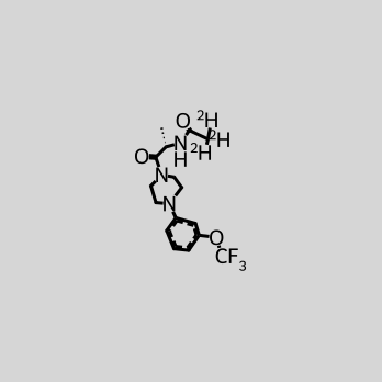 [2H]C([2H])([2H])C(=O)N[C@@H](C)C(=O)N1CCN(c2cccc(OC(F)(F)F)c2)CC1